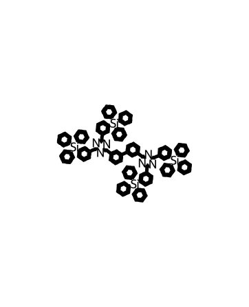 c1ccc([Si](c2ccccc2)(c2ccccc2)c2cccc(-c3nc(-c4cccc(-c5cccc(-c6nc(-c7cccc([Si](c8ccccc8)(c8ccccc8)c8ccccc8)c7)nc(-c7cccc([Si](c8ccccc8)(c8ccccc8)c8ccccc8)c7)n6)c5)c4)nc(-c4cccc([Si](c5ccccc5)(c5ccccc5)c5ccccc5)c4)n3)c2)cc1